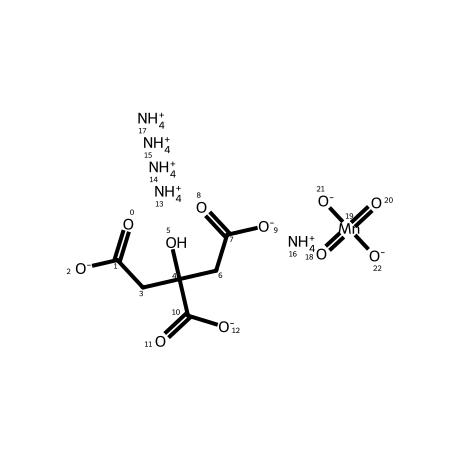 O=C([O-])CC(O)(CC(=O)[O-])C(=O)[O-].[NH4+].[NH4+].[NH4+].[NH4+].[NH4+].[O]=[Mn](=[O])([O-])[O-]